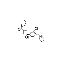 CC(C)CN(C)C(=O)C1CC(O)(c2ccc(CN3CCCC3)c(Cl)c2)C1